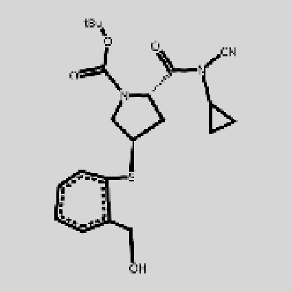 CC(C)(C)OC(=O)N1C[C@H](Sc2ccccc2CO)C[C@H]1C(=O)N(C#N)C1CC1